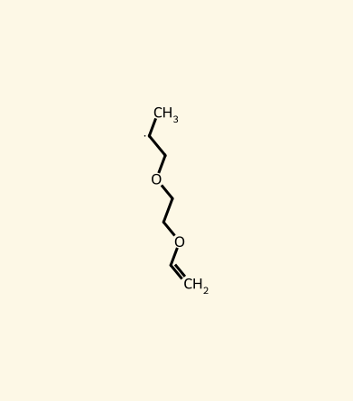 C=COCCOC[CH]C